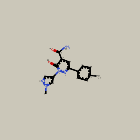 Cn1cc(-n2nc(-c3ccc(C(F)(F)F)cc3)cc(C(N)=O)c2=O)cn1